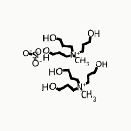 C[N+](CCCO)(CCCO)CCCO.C[N+](CCCO)(CCCO)CCCO.O=[Si]([O-])[O-]